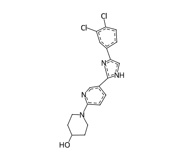 OC1CCN(c2ccc(-c3nc(-c4ccc(Cl)c(Cl)c4)c[nH]3)cn2)CC1